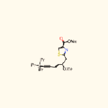 COC(=O)c1csc(C[C@H](/C=C/C#C[Si](C(C)C)(C(C)C)C(C)C)OC)n1